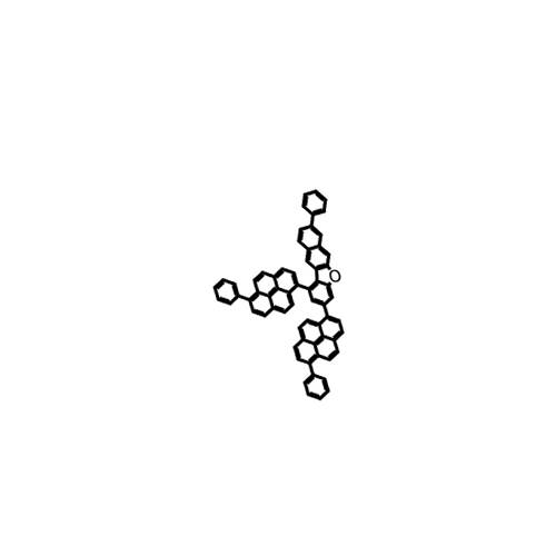 c1ccc(-c2ccc3cc4c(cc3c2)oc2cc(-c3ccc5ccc6c(-c7ccccc7)ccc7ccc3c5c76)cc(-c3ccc5ccc6c(-c7ccccc7)ccc7ccc3c5c76)c24)cc1